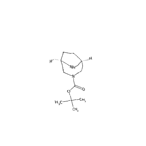 CC(C)(C)OC(=O)N1C[C@@H]2CC[C@H](C1)NC2